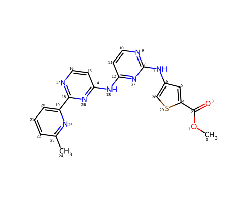 COC(=O)c1cc(Nc2nccc(Nc3ccnc(-c4cccc(C)n4)n3)n2)cs1